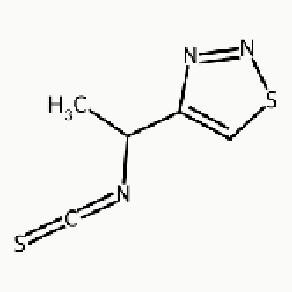 CC(N=C=S)c1csnn1